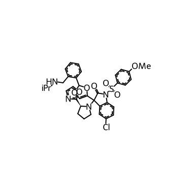 COc1ccc(S(=O)(=O)N2C(=O)C(C3=COC(c4ccccc4CNC(C)C)O3)(N3CCC[C@H]3c3ncco3)c3cc(Cl)ccc32)cc1